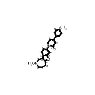 Cc1ccc(-c2ccn(-c3ccc4c5c(oc4c3)CCCN(C)C5)c(=O)c2)cc1